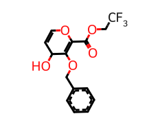 O=C(OCC(F)(F)F)C1=C(OCc2ccccc2)C(O)C=CO1